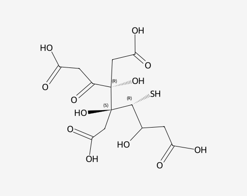 O=C(O)CC(=O)[C@@](O)(CC(=O)O)[C@@](O)(CC(=O)O)[C@H](S)C(O)CC(=O)O